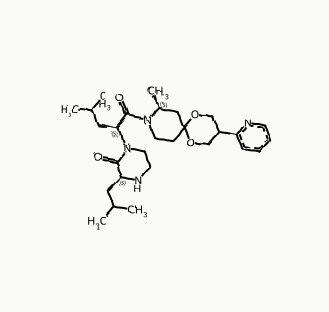 CC(C)C[C@@H]1NCCN([C@@H](CC(C)C)C(=O)N2CCC3(C[C@@H]2C)OCC(c2ccccn2)CO3)C1=O